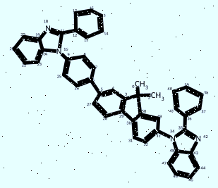 CC1(C)c2cc(-c3ccc(-n4c(-c5ccccc5)nc5ccccc54)cc3)ccc2-c2ccc(-n3c(-c4ccccc4)nc4ccccc43)cc21